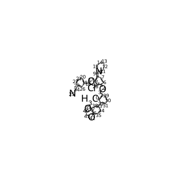 Cc1c(COc2ccc(CN3CCCCC3)c(OCc3cccc(C#N)c3)c2Cl)cccc1-c1ccc2c(c1)OCCO2